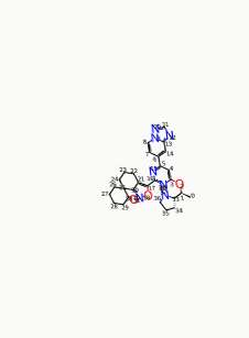 C[C@H](Oc1cc(-c2ccn3ncnc3c2)nc(-c2onc3c2CCC[C@@]32CCCCC2=O)n1)[C@@H]1CCCN1C